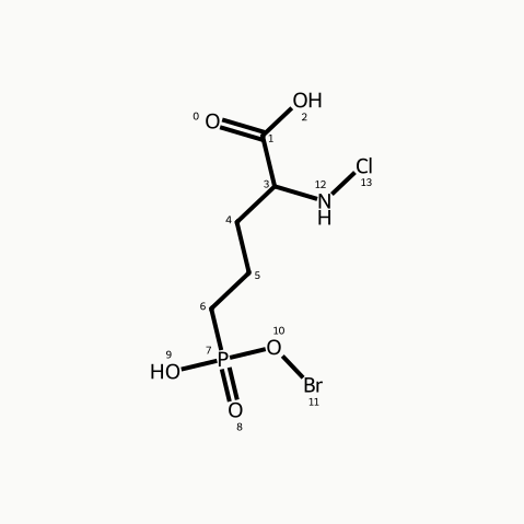 O=C(O)C(CCCP(=O)(O)OBr)NCl